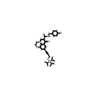 CC(C)[Si](OCC#Cc1cc2c3c(c1)c(=S)c(C(=O)NCc1ccc(Cl)cc1)cn3CCO2)(C(C)C)C(C)C